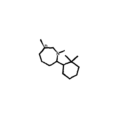 C[C@@H]1CCCC(C2CCCCC2(C)C)N(C)C1